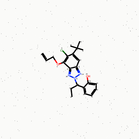 C=CCOc1c(Cl)c(C(C)(C)C)cc2nn(C(CC)c3ccccc3O)nc12